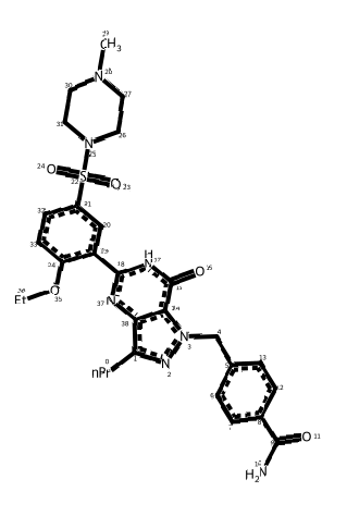 CCCc1nn(Cc2ccc(C(N)=O)cc2)c2c(=O)[nH]c(-c3cc(S(=O)(=O)N4CCN(C)CC4)ccc3OCC)nc12